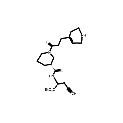 C#CC[C@H](NC(=O)[C@@H]1CCCN(C(=O)CCC2=CCNCC2)C1)C(=O)OCC